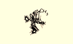 CCC[C@@H]([C]=O)NC(=O)N(CCc1ccccc1)CC(O)C(Cc1ccccc1)NC(=O)OCc1ccccc1